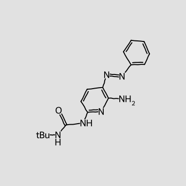 CC(C)(C)NC(=O)Nc1ccc(N=Nc2ccccc2)c(N)n1